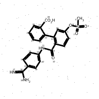 CS(=O)(=O)Oc1ccc(C(=O)Nc2ccc(C(=N)N)cc2)c(-c2ccccc2C(=O)O)c1